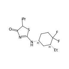 CC[C@@H]1C[C@H](NC2=NC(=O)C(C(C)C)S2)CCC1(F)F